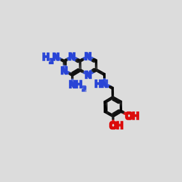 Nc1nc(N)c2nc(CNCc3ccc(O)c(O)c3)cnc2n1